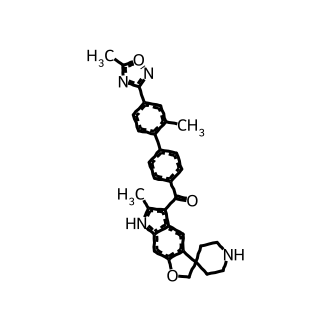 Cc1nc(-c2ccc(-c3ccc(C(=O)c4c(C)[nH]c5cc6c(cc45)C4(CCNCC4)CO6)cc3)c(C)c2)no1